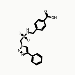 O=C(O)c1ccc(CNS(=O)(=O)Cn2cc(-c3ccccc3)nn2)cc1